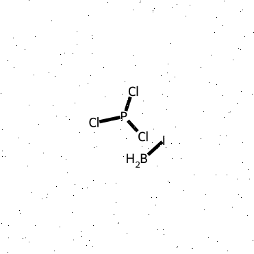 BI.ClP(Cl)Cl